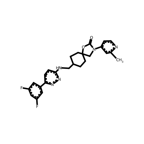 Cc1cc(N2CC3(CCC(CNc4ccc(-c5cc(F)cc(F)c5)nn4)CC3)OC2=O)ccn1